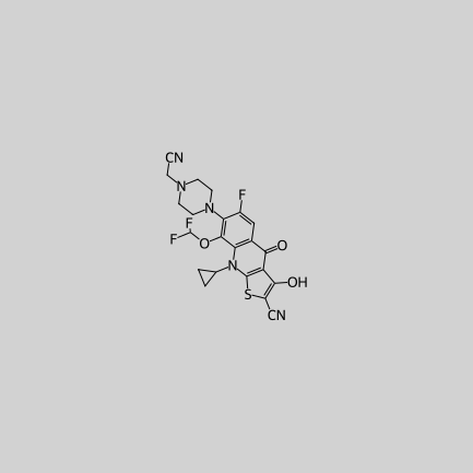 N#CCN1CCN(c2c(F)cc3c(=O)c4c(O)c(C#N)sc4n(C4CC4)c3c2OC(F)F)CC1